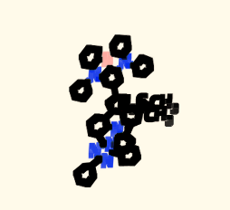 CC(C)(C)c1ccc2c(c1)c1ccccc1n2-c1c(-c2cccc(-c3cc4c5c(c3)N(c3ccccc3)c3ccccc3B5c3ccccc3N4c3ccccc3)c2)cccc1-c1nc(-c2ccccc2)nc(-c2ccccc2)n1